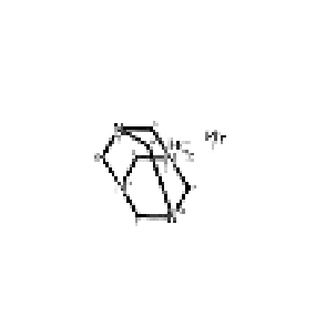 C1N2CN3CN1CN(C2)C3.Cl.[Rh]